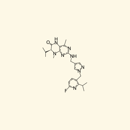 Cc1nc(NCc2cnn(Cc3ccc(F)nc3C(C)C)c2)nc2c1NC(=O)[C@H](C(C)C)N2C